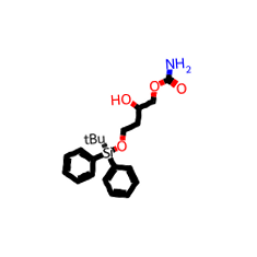 CC(C)(C)[Si](OCCC(O)COC(N)=O)(c1ccccc1)c1ccccc1